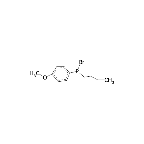 CCCCP(Br)c1ccc(OC)cc1